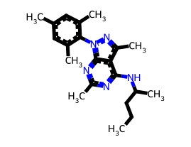 CCCC(C)Nc1nc(C)nc2c1c(C)nn2-c1c(C)cc(C)cc1C